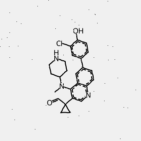 CN(c1c(C2(C=O)CC2)cnc2ccc(-c3ccc(O)c(Cl)c3)cc12)C1CCNCC1